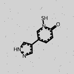 O=c1ccc(-c2cn[nH]c2)cn1S